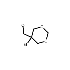 CCC1(C[O])COCOC1